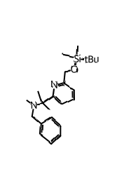 CN(Cc1ccccc1)C(C)(C)c1cccc(CO[Si](C)(C)C(C)(C)C)n1